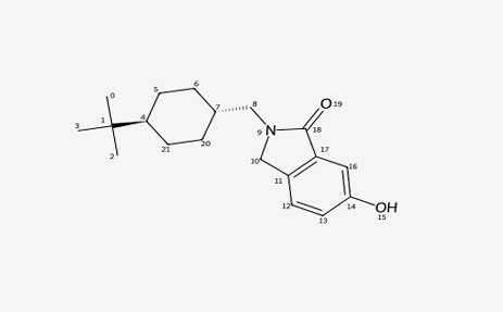 CC(C)(C)[C@H]1CC[C@H](CN2Cc3ccc(O)cc3C2=O)CC1